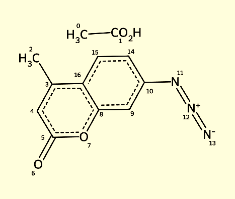 CC(=O)O.Cc1cc(=O)oc2cc(N=[N+]=[N-])ccc12